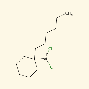 CCCCCCC1([SiH](Cl)Cl)CCCCC1